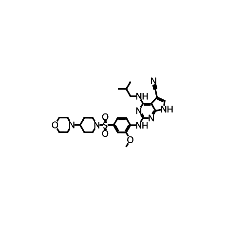 COc1cc(S(=O)(=O)N2CCC(N3CCOCC3)CC2)ccc1Nc1nc(NCC(C)C)c2c(C#N)c[nH]c2n1